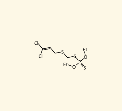 CCOP(=S)(OCC)SCSCC=C(Cl)Cl